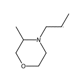 C[CH]CN1CCOCC1C